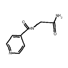 NC(=O)CNC(=O)c1ccncc1